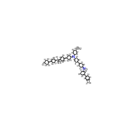 CCC(C)c1ccc(N(c2ccc(-c3ccc(N(C)c4cccc(-c5ccc6c(c5)CC6)c4)cc3)cc2)c2ccc(-c3ccc(C(C)(CC)c4ccc(-c5ccc(C)cc5)cc4)cc3)cc2)cc1